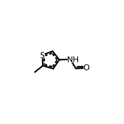 Cc1cc(NC=O)cs1